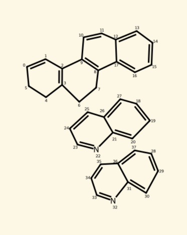 C1=CC2=C(CC1)CCc1c2ccc2ccccc12.c1ccc2ncccc2c1.c1ccc2ncccc2c1